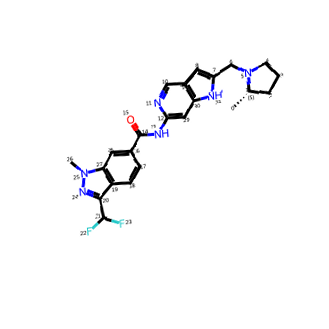 C[C@H]1CCCN1Cc1cc2cnc(NC(=O)c3ccc4c(C(F)F)nn(C)c4c3)cc2[nH]1